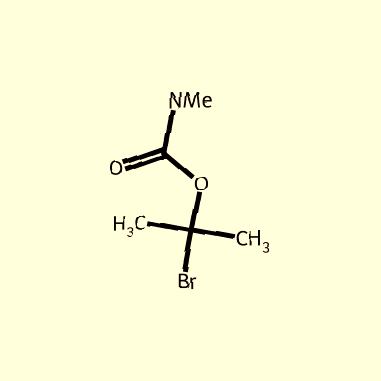 CNC(=O)OC(C)(C)Br